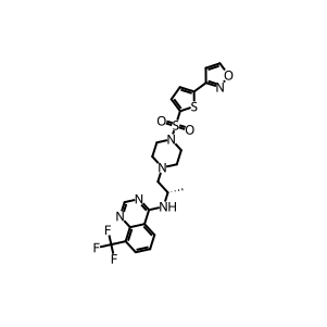 C[C@@H](CN1CCN(S(=O)(=O)c2ccc(-c3ccon3)s2)CC1)Nc1ncnc2c(C(F)(F)F)cccc12